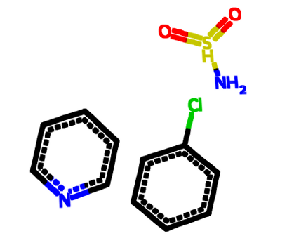 Clc1ccccc1.N[SH](=O)=O.c1ccncc1